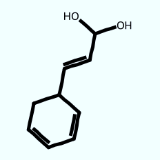 OC(O)C=CC1C=CC=CC1